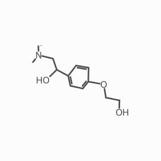 [CH2]N(C)CC(O)c1ccc(OCCO)cc1